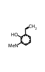 C=Cc1cccc(NC)c1O